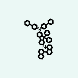 c1ccc(-c2ccc(N(c3ccc(-c4ccccc4)cc3)c3ccc4c(c3)C(c3ccccc3)(c3ccccc3)c3cc(N5c6ccc7ccccc7c6-c6cccc7cccc5c67)ccc3-4)cc2)cc1